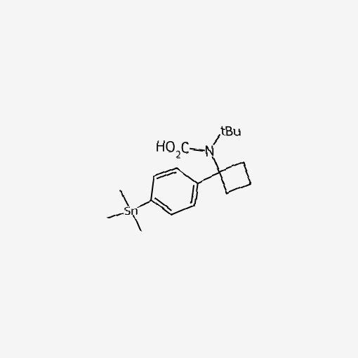 CC(C)(C)N(C(=O)O)C1(c2cc[c]([Sn]([CH3])([CH3])[CH3])cc2)CCC1